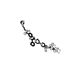 CC(C)(C)OC(=O)NCC1(O)CCN(C2CCN(c3nc4ccc(C(=O)NCCCn5ccnc5)cc4nc3-c3ccccc3)CC2)CC1